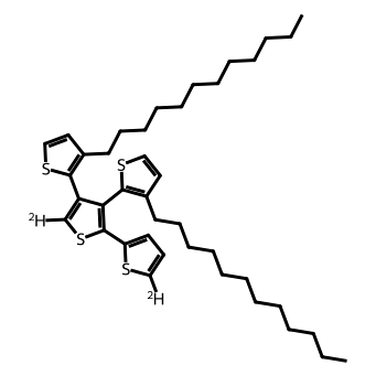 [2H]c1ccc(-c2sc([2H])c(-c3sccc3CCCCCCCCCCCC)c2-c2sccc2CCCCCCCCCCCC)s1